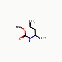 C=CCC(C=O)NC(=O)OC(C)(C)C